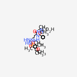 Cc1c(C)c(S(=O)(=O)NC(=N)NCCCC(NC(=O)c2ccccc2)C(=O)NCC(C)N(C)C(=O)O)c(C)c2c1OC(C)(C)C2